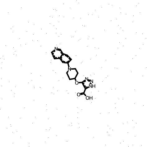 O=C(O)c1[nH]nnc1OC1CCN(c2ccc3cnccc3c2)CC1